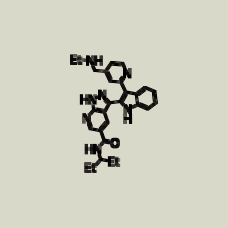 CCNCc1ccnc(-c2c(-c3n[nH]c4ncc(C(=O)NC(CC)CC)cc34)[nH]c3ccccc23)c1